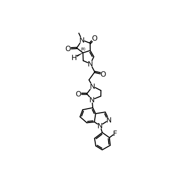 CN1C(=O)C2=CN(C(=O)CN3CCN(c4cccc5c4cnn5-c4ccccc4F)C3=O)C[C@@H]2C1=O